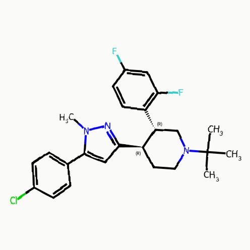 Cn1nc([C@@H]2CCN(C(C)(C)C)C[C@H]2c2ccc(F)cc2F)cc1-c1ccc(Cl)cc1